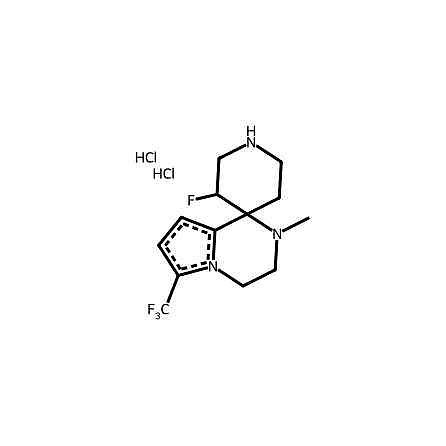 CN1CCn2c(C(F)(F)F)ccc2C12CCNCC2F.Cl.Cl